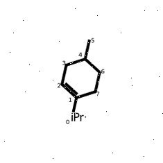 C[C](C)C1=CCC(C)CC1